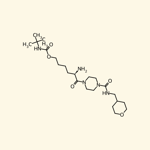 CC(C)(C)NC(=O)OCCCC[C@@H](N)C(=O)N1CCN(C(=O)NCC2CCOCC2)CC1